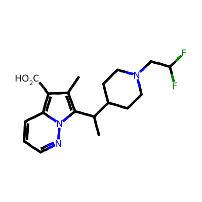 Cc1c(C(=O)O)c2cccnn2c1C(C)C1CCN(CC(F)F)CC1